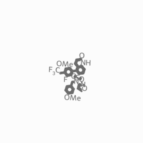 COc1ccc(CN(c2ccon2)S(=O)(=O)c2ccc3[nH]c(=O)ccc3c2-c2cc(F)c(CC(F)(F)F)cc2OC)cc1